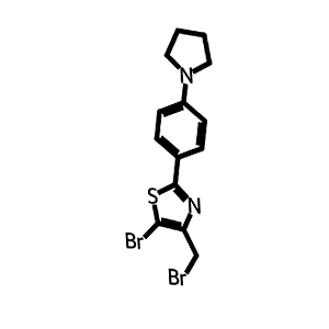 BrCc1nc(-c2ccc(N3CCCC3)cc2)sc1Br